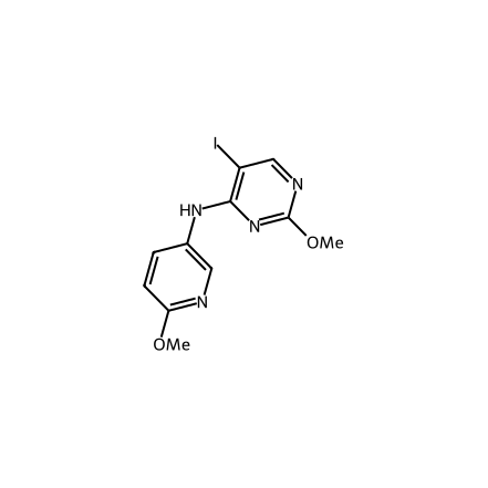 COc1ccc(Nc2nc(OC)ncc2I)cn1